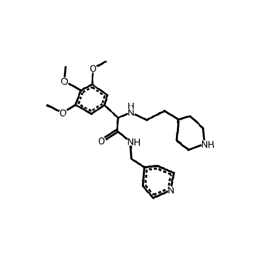 COc1cc(C(NCCC2CCNCC2)C(=O)NCc2ccncc2)cc(OC)c1OC